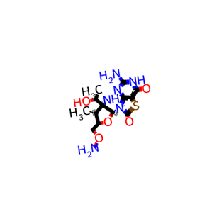 CC(O)[C@]1(N)[C@@H](C)C(CON)O[C@H]1n1c(=O)sc2c(=O)[nH]c(N)nc21